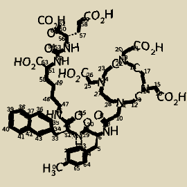 Cc1ccc(C[C@H](NC(=O)CN2CCN(CC(=O)O)CCN(CC(=O)O)CCN(CC(=O)O)CC2)C(=O)N[C@@H](Cc2ccc3ccccc3c2)C(=O)NCCCC[C@H](NC(=O)N[C@@H](CCC(=O)O)C(=O)C(=O)O)C(=O)O)cc1